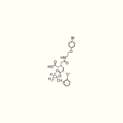 CC(C)(C)OC(=O)/C(=C\C(CC(=O)O)CC(=O)NCCOc1ccc(Br)cc1)[C@@H]1C[C@H]1c1ccccc1